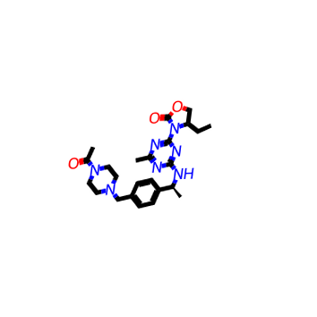 CCC1COC(=O)N1c1nc(C)nc(N[C@@H](C)c2ccc(CN3CCN(C(C)=O)CC3)cc2)n1